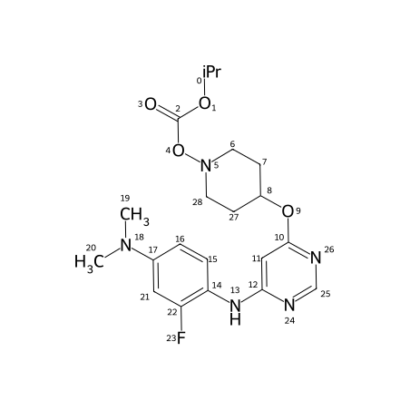 CC(C)OC(=O)ON1CCC(Oc2cc(Nc3ccc(N(C)C)cc3F)ncn2)CC1